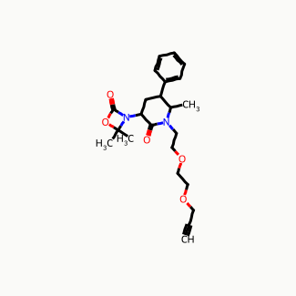 C#CCOCCOCCN1C(=O)C(N2C(=O)OC2(C)C)CC(c2ccccc2)C1C